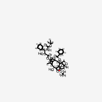 [2H]C([2H])([2H])O[C@H]1C[C@H]2OC[C@@]2(OC(C)=O)[C@H]2[C@H](OC(=O)c3ccccc3)[C@]3(O)C[C@H](OC(=O)[C@H](O)[C@@H](NC(=O)OC(C)(C)C)c4ccccc4)C(C)=C([C@@H](O)C(=O)[C@]12C)C3(C)C